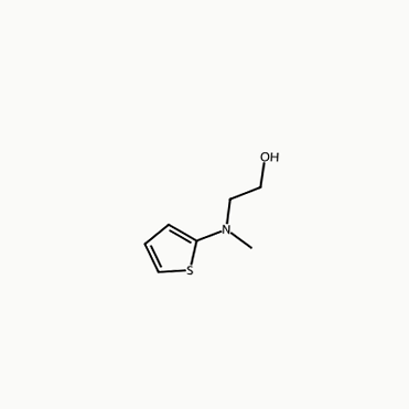 CN(CCO)c1cccs1